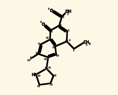 CCn1cc(C(=O)O)c(=O)c2cc(F)c(N3CCCN3)cc21